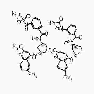 Cc1ccc2nc(C(F)(F)F)cc(N[C@H]3CCC[C@@H](NC(=O)c4cccc(NC(=O)C(C)C)c4)C3)c2c1.Cc1ccc2nc(C(F)(F)F)cc(N[C@H]3CCC[C@@H](NC(=O)c4cccc(NS(C)(=O)=O)c4)C3)c2c1